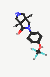 O=C1[C@@H]2CNC[C@@H]2CN1c1ccc(OC(F)(F)F)cc1